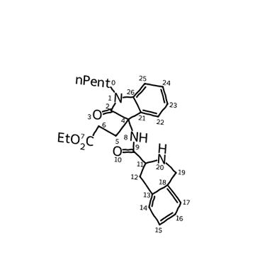 CCCCCN1C(=O)C(CCC(=O)OCC)(NC(=O)C2Cc3ccccc3CN2)c2ccccc21